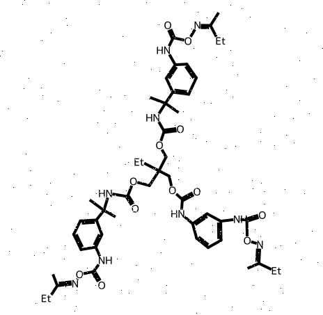 CC/C(C)=N\OC(=O)Nc1cccc(C(C)(C)NC(=O)OCC(CC)(COC(=O)Nc2cccc(NC(=O)O/N=C(\C)CC)c2)COC(=O)NC(C)(C)c2cccc(NC(=O)O/N=C(\C)CC)c2)c1